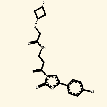 C=C(CCNC(=O)CO[C@H]1C[C@@H](OC(F)(F)F)C1)n1cc(-c2ccc(Cl)cc2)oc1=O